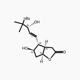 CCCCC(C)(C)[C@H](O)/C=C/[C@@H]1[C@H]2CC(=O)O[C@H]2C[C@H]1O